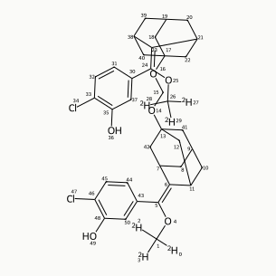 [2H]C([2H])([2H])OC(=C1C2CC3CC1CC(OCOC14CC5CC(C1)C(=C(OC([2H])([2H])[2H])c1ccc(Cl)c(O)c1)C(C5)C4)(C3)C2)c1ccc(Cl)c(O)c1